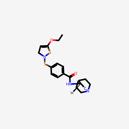 CCOC1=CCN(Sc2ccc(C(=O)N[C@H]3CN4CCC3CC4)cc2)S1